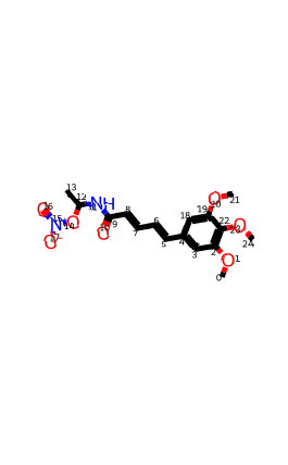 COc1cc(C=CC=CC(=O)NC(C)O[N+](=O)[O-])cc(OC)c1OC